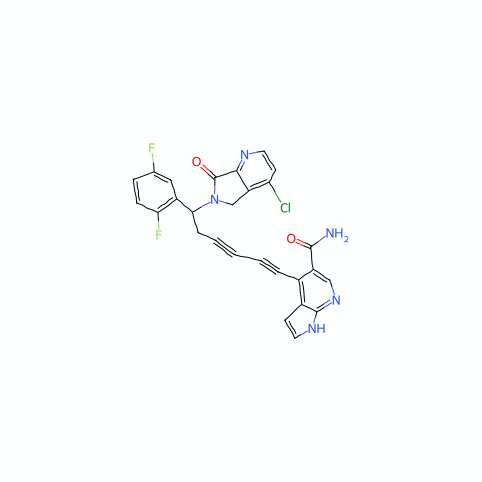 NC(=O)c1cnc2[nH]ccc2c1C#CC#CCC(c1cc(F)ccc1F)N1Cc2c(Cl)ccnc2C1=O